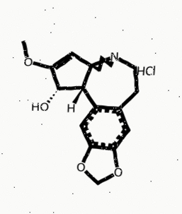 COC1=C[C@]23CCCN2CCc2cc4c(cc2[C@@H]3[C@@H]1O)OCO4.Cl